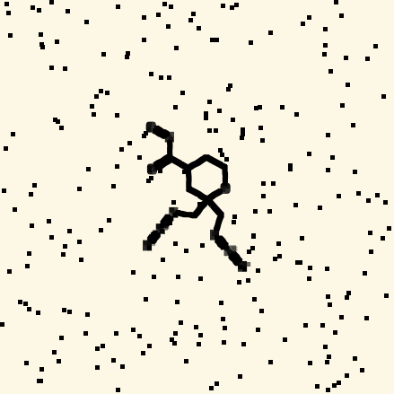 [N-]=[N+]=NCC1(CN=[N+]=[N-])CC(C(=O)N=O)CCO1